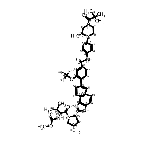 COC(=O)N[C@H](C(=O)N1C[C@@H](C)C[C@H]1c1nc2c(ccc3cc(-c4ccc(C(=O)Nc5ccc(N6CCN(C(=O)C(C)(C)C)C[C@H]6C)nc5)cc4OC(F)(F)F)ccc32)[nH]1)C(C)C